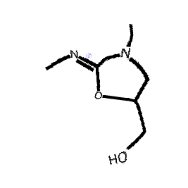 C/N=C1\OC(CO)CN1C